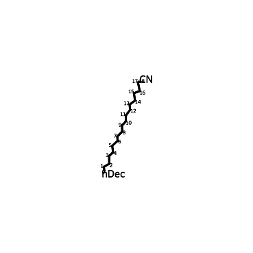 CCCCCCCCCCCCCCCCCCCCCCCCCC[CH]C#N